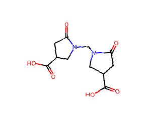 O=C(O)C1CC(=O)N(CN2CC(C(=O)O)CC2=O)C1